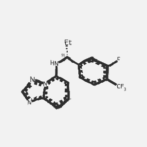 CC[C@@H](Nc1c[c]cc2ncnn12)c1ccc(C(F)(F)F)c(F)c1